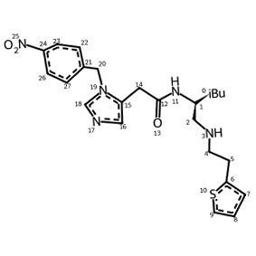 CC[C@H](C)[C@@H](CNCCc1cccs1)NC(=O)Cc1cncn1Cc1ccc([N+](=O)[O-])cc1